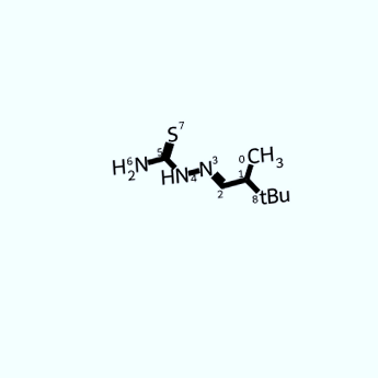 CC(C=NNC(N)=S)C(C)(C)C